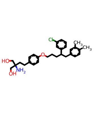 Cc1ccc(CC(CCCOc2ccc(CCC(N)(CO)CO)cc2)c2cccc(Cl)c2)cc1C